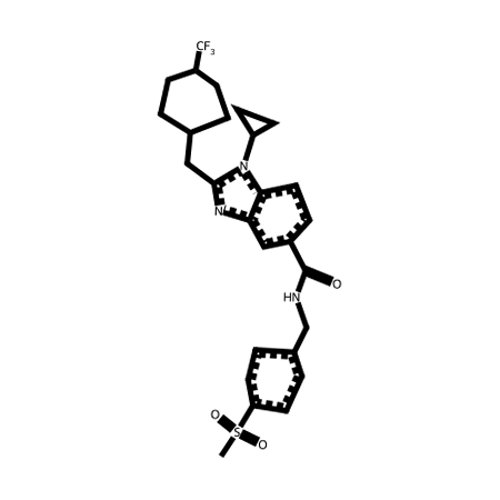 CS(=O)(=O)c1ccc(CNC(=O)c2ccc3c(c2)nc(CC2CCC(C(F)(F)F)CC2)n3C2CC2)cc1